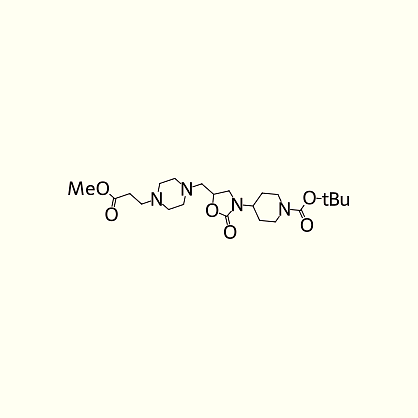 COC(=O)CCN1CCN(CC2CN(C3CCN(C(=O)OC(C)(C)C)CC3)C(=O)O2)CC1